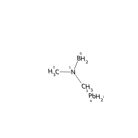 BN(C)C.[PbH2]